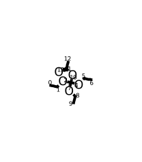 CCOC(OCC)(OCC)OC(C)=O